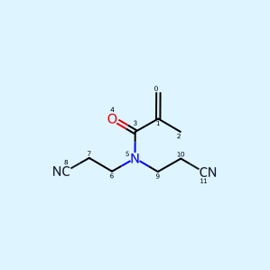 C=C(C)C(=O)N(CCC#N)CCC#N